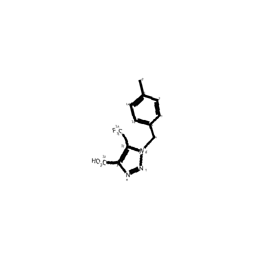 Cc1ccc(Cn2nnc(C(=O)O)c2C(F)(F)F)cc1